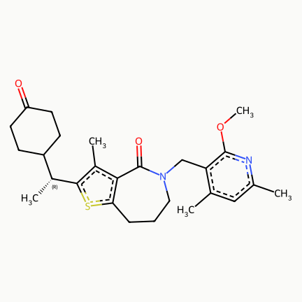 COc1nc(C)cc(C)c1CN1CCCc2sc([C@H](C)C3CCC(=O)CC3)c(C)c2C1=O